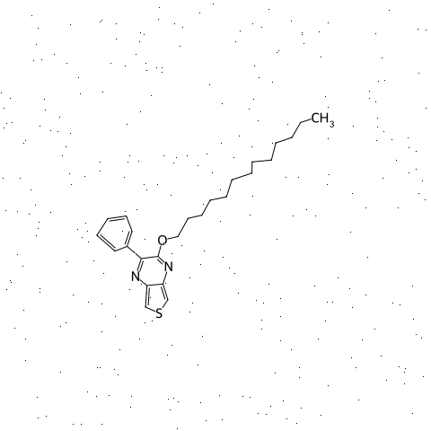 CCCCCCCCCCCCCOc1nc2cscc2nc1-c1ccccc1